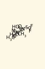 COc1ccc2nccc([C@@H](CC[C@@H]3CCN(CCSc4cc(F)cc(F)c4)C[C@@H]3CC(=O)O)N(C)C)c2c1